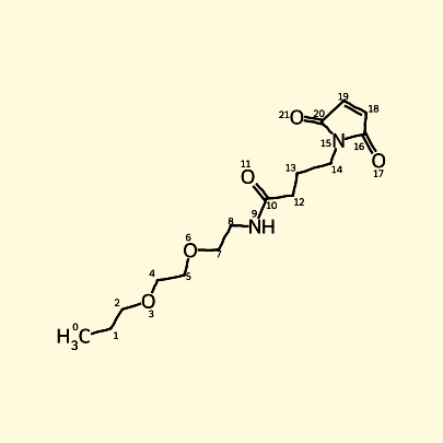 CCCOCCOCCNC(=O)CCCN1C(=O)C=CC1=O